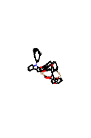 c1ccc(-c2cccc3c2C2(c4ccccc4S3)c3ccccc3Sc3cccc(-c4ccc5c6ccccc6n(-c6ccccc6)c5c4)c32)cc1